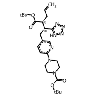 C=CC[C@H](C(=O)OC(C)(C)C)[C@H](Cc1ccc(N2CCN(C(=O)OC(C)(C)C)CC2)nc1)c1nnn[nH]1